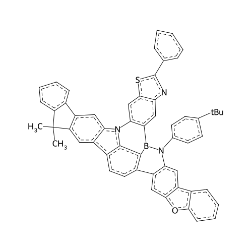 CC(C)(C)c1ccc(N2B3c4cc5nc(-c6ccccc6)sc5cc4-n4c5cc6c(cc5c5ccc(c3c54)-c3cc4oc5ccccc5c4cc32)C(C)(C)c2ccccc2-6)cc1